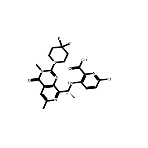 Cc1cc2c(=O)n(C)c(N3CCC(F)(F)CC3)nc2c([C@@H](C)Nc2ccc(Cl)nc2C(=O)O)n1